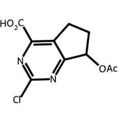 CC(=O)OC1CCc2c(C(=O)O)nc(Cl)nc21